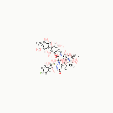 Bc1c(B)c(-c2c(B)c(B)c(C(F)(F)F)c(B)c2B)c(B)c(B)c1CN(C(=O)C(B)(B)n1c(SC(B)(B)c2ccc(F)cc2)nc(=O)c2c1CCC2)C(B)(B)C(B)(B)N(C(B)(B)C)C(B)(B)C